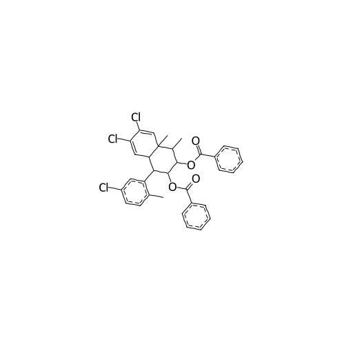 Cc1ccc(Cl)cc1C1C(OC(=O)c2ccccc2)C(OC(=O)c2ccccc2)C(C)C2(C)C=C(Cl)C(Cl)=CC12